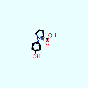 O=C(O)[C@H]1CCCN1c1ccc(O)cc1